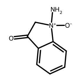 N[N+]1([O-])CC(=O)c2ccccc21